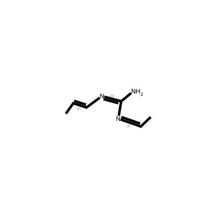 C\C=N/C(N)=N\C=C\C